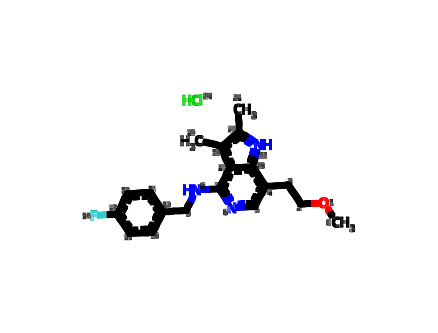 COCCc1cnc(NCc2ccc(F)cc2)c2c(C)c(C)[nH]c12.Cl